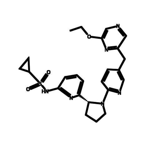 CCOc1cncc(Cc2ccc(N3CCC[C@@H]3c3cccc(NS(=O)(=O)C4CC4)n3)nc2)n1